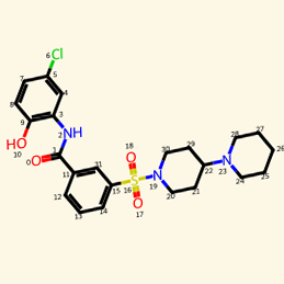 O=C(Nc1cc(Cl)ccc1O)c1cccc(S(=O)(=O)N2CCC(N3CCCCC3)CC2)c1